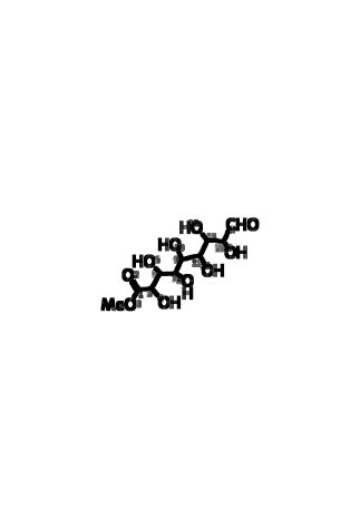 COC(=O)C(O)C(O)C(O)C(O)C(O)C(O)C(O)C=O